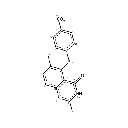 Cc1nc2ccc(C)c(Sc3ccc(C(=O)O)cc3)c2c(=O)[nH]1